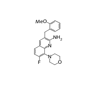 COc1ccccc1Cc1cc2ccc(F)c(N3CCOCC3)c2nc1N